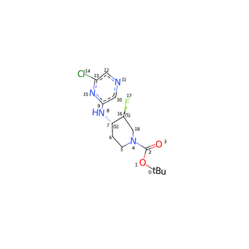 CC(C)(C)OC(=O)N1CC[C@H](Nc2cncc(Cl)n2)[C@@H](F)C1